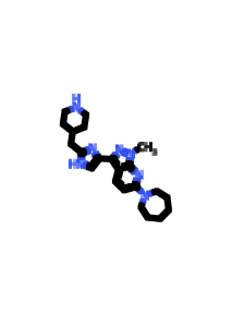 Cn1nc(-c2c[nH]c(CC3CCNCC3)n2)c2ccc(N3CCCCCC3)nc21